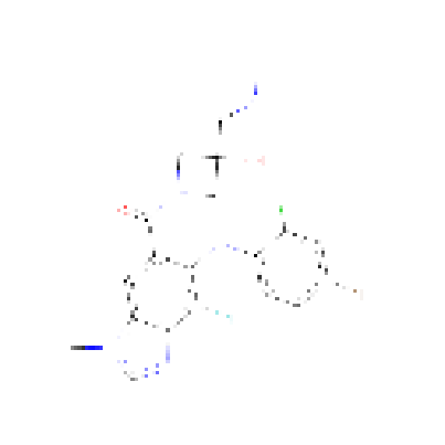 CNCC1(O)CN(C(=O)c2cc3c(ncn3C)c(F)c2Nc2ccc(Br)cc2Cl)C1